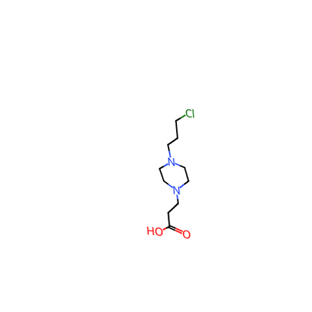 O=C(O)CCN1CCN(CCCCl)CC1